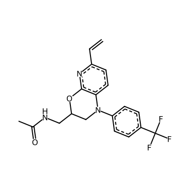 C=Cc1ccc2c(n1)OC(CNC(C)=O)CN2c1ccc(C(F)(F)F)cc1